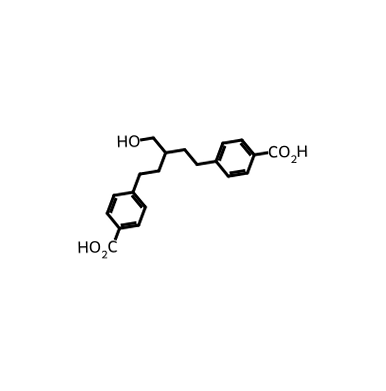 O=C(O)c1ccc(CCC(CO)CCc2ccc(C(=O)O)cc2)cc1